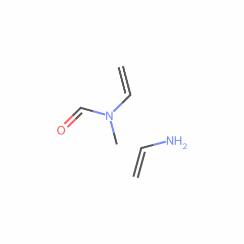 C=CN.C=CN(C)C=O